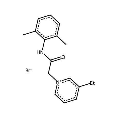 CCc1ccc[n+](CC(=O)Nc2c(C)cccc2C)c1.[Br-]